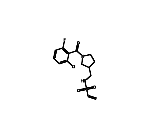 C=CS(=O)(=O)NCC1CCN(C(=O)c2c(F)cccc2Cl)C1